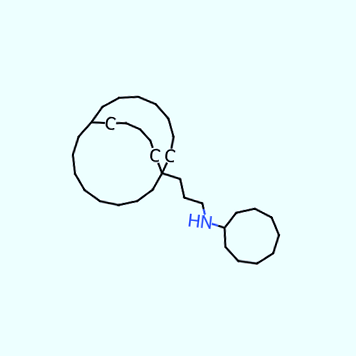 C1CCCCC2(CCCNC3CCCCCCCC3)CCCCCCCC(CCC1)CCCCC2